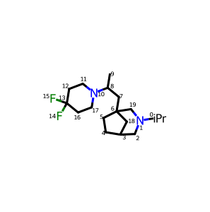 CC(C)N1CC2CCC(CC(C)N3CCC(F)(F)CC3)(C2)C1